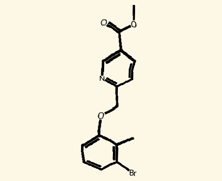 COC(=O)c1ccc(COc2cccc(Br)c2C)nc1